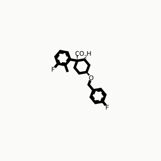 Cc1c(F)cccc1[C@]1(C(=O)O)CC[C@H](OCc2ccc(F)cc2)CC1